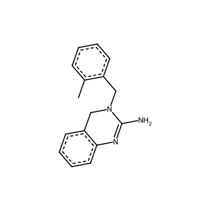 Cc1ccccc1CN1Cc2ccccc2N=C1N